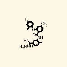 Cc1ccc(C(=N)NN)cc1NC(=O)c1ccc(C(F)(F)F)cc1Oc1ccc(F)cc1C